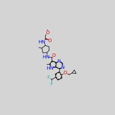 COCC(=O)NC1CCC(NC(=O)c2c(C)[nH]c3c(-c4cc(C(F)F)ccc4OCC4CC4)ncnc23)CC1C